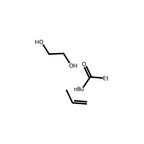 C=CC.CCCCC(=O)CC.OCCO